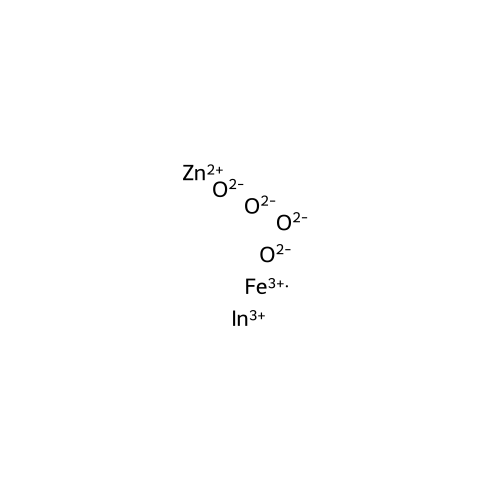 [Fe+3].[In+3].[O-2].[O-2].[O-2].[O-2].[Zn+2]